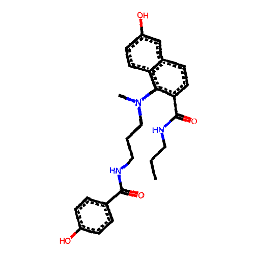 CCCNC(=O)c1ccc2cc(O)ccc2c1N(C)CCCNC(=O)c1ccc(O)cc1